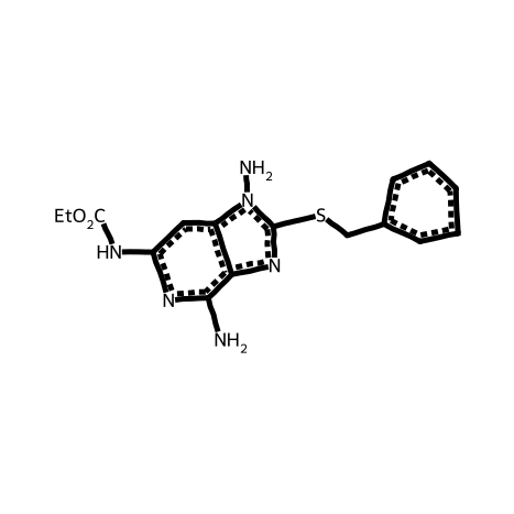 CCOC(=O)Nc1cc2c(nc(SCc3ccccc3)n2N)c(N)n1